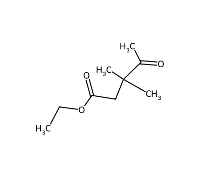 CCOC(=O)CC(C)(C)C(C)=O